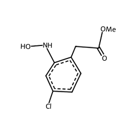 COC(=O)Cc1ccc(Cl)cc1NO